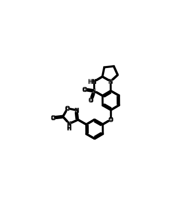 O=c1[nH]c(-c2cccc(Oc3ccc4c(c3)S(=O)(=O)NC3CCCN43)c2)no1